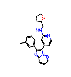 Cc1cccc(-c2nc3cccnn3c2-c2ccnc(NCC3CCCO3)c2)c1